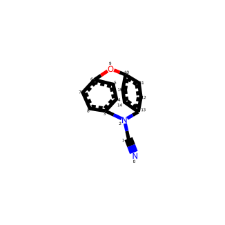 N#CN1c2ccc(cc2)Oc2ccc1cc2